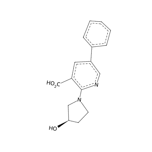 O=C(O)c1cc(-c2ccccc2)cnc1N1CC[C@@H](O)C1